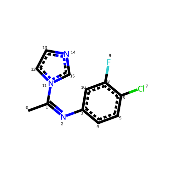 CC(=Nc1ccc(Cl)c(F)c1)n1ccnc1